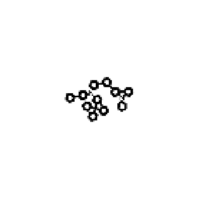 C1=CC(n2c3ccccc3c3cc(-c4cccc(-c5cccc(N(c6ccc(-c7ccccc7)cc6)c6ccc7c(c6)C(c6ccccc6)(c6ccccc6)c6ccccc6-7)c5)c4)ccc32)=CCC1